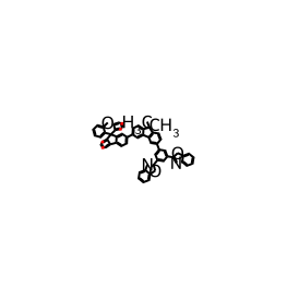 CC1(C)c2ccc(-c3cc(-c4nc5ccccc5o4)cc(-c4nc5ccccc5o4)c3)cc2-c2cc(-c3ccc4c(c3)C3(c5ccccc5Oc5ccccc53)c3ccccc3-4)ccc21